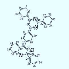 c1ccc(-c2cc(-c3ccc(-c4c5ccccc5nc5c4oc4ccccc45)cc3)nc(-c3ccccc3)n2)cc1